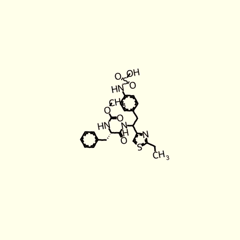 CCc1nc(C(Cc2ccc(NS(=O)(=O)O)cc2)NC(=O)[C@H](Cc2ccccc2)NC(=O)OC)cs1